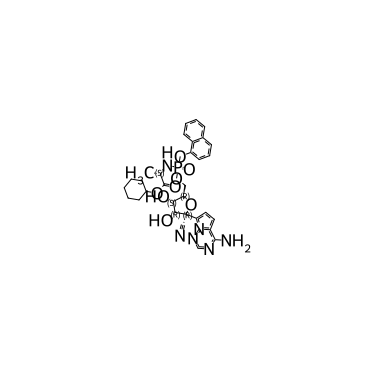 C[C@H](NP(=O)(OC[C@H]1O[C@@](C#N)(c2ccc3c(N)ncnn23)[C@H](O)[C@@H]1O)Oc1cccc2ccccc12)C(=O)OC1CCCCC1